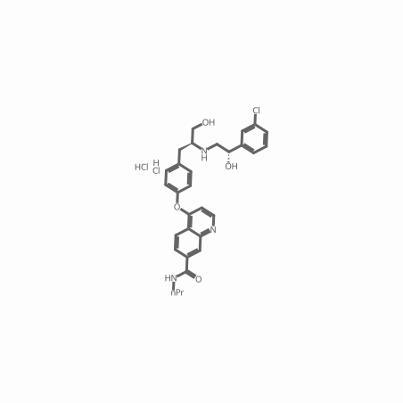 CCCNC(=O)c1ccc2c(Oc3ccc(C[C@@H](CO)NC[C@@H](O)c4cccc(Cl)c4)cc3)ccnc2c1.Cl.Cl